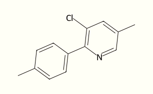 Cc1ccc(-c2ncc(C)cc2Cl)cc1